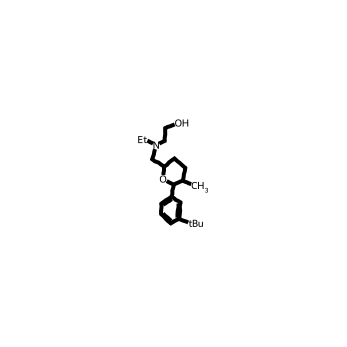 CCN(CCO)CC1CCC(C)C(c2cccc(C(C)(C)C)c2)O1